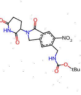 CC(C)(C)OC(=O)NCc1cc2c(cc1[N+](=O)[O-])C(=O)N(C1CCC(=O)NC1=O)C2